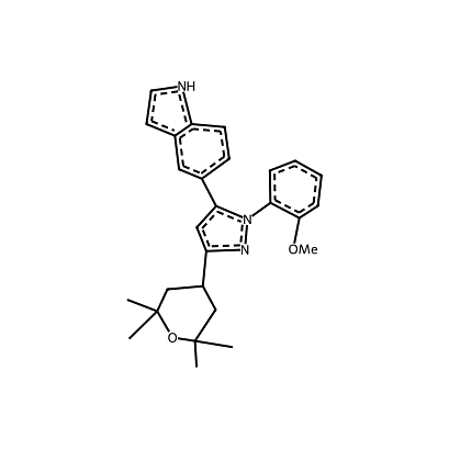 COc1ccccc1-n1nc(C2CC(C)(C)OC(C)(C)C2)cc1-c1ccc2[nH]ccc2c1